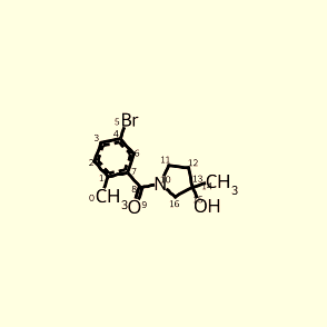 Cc1ccc(Br)cc1C(=O)N1CCC(C)(O)C1